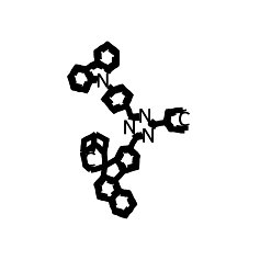 c1ccc(-c2nc(-c3ccc(-n4c5ccccc5c5ccccc54)cc3)nc(-c3ccc4c(c3)C3(c5ccc6ccccc6c5-4)C4CC5CC(C4)CC3C5)n2)cc1